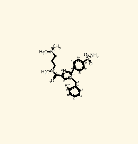 CN(C)CCCN(C)C(=O)c1cn(Cc2ccccc2F)c(-c2ccc(S(N)(=O)=O)cc2)n1